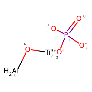 O=P([O-])([O-])[O-].[AlH2][O][Ti+3]